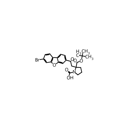 CC(C)(C)OC(=O)C1(CC(=O)c2ccc3c(c2)oc2cc(Br)ccc23)CCCN1C(=O)O